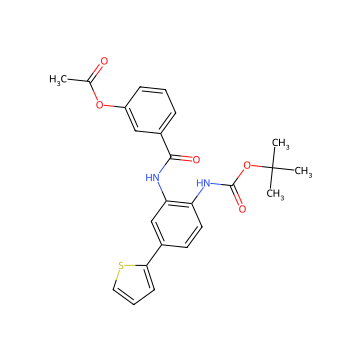 CC(=O)Oc1cccc(C(=O)Nc2cc(-c3cccs3)ccc2NC(=O)OC(C)(C)C)c1